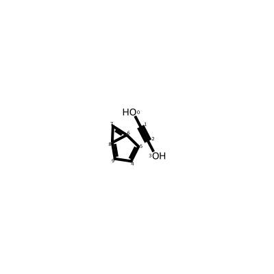 OC#CO.c1cc2cc-2c1